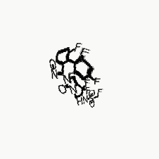 O=c1n(-c2noc3ccc(F)c(-c4c(F)cc(F)cc4F)c23)cc2n1C[C@@H](NS(=O)(=O)CF)C2(F)F